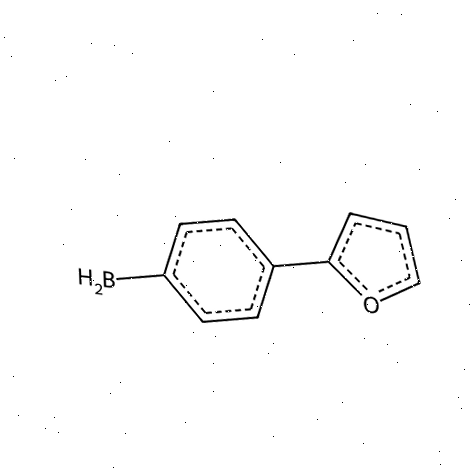 Bc1ccc(-c2ccco2)cc1